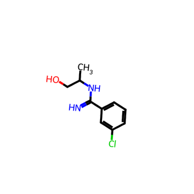 CC(CO)NC(=N)c1cccc(Cl)c1